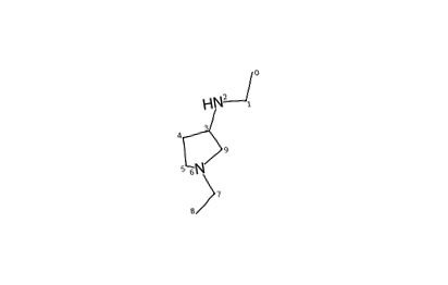 CCNC1CCN(CC)C1